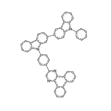 c1ccc(-n2c3ccccc3c3cc(-c4ccc5c6ccccc6n(-c6ccc(-c7cnc8c9ccccc9c9ccccc9c8n7)cc6)c5c4)ccc32)cc1